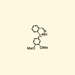 COc1ccc([C@@H]2NN=Cc3ccccc32)cc1OC